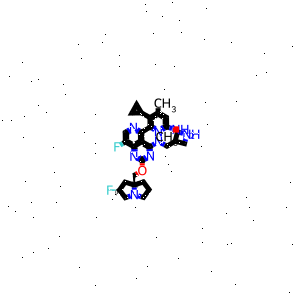 Cc1cc(N)nc(-c2ncc(F)c3nc(OC[C@@]45CCCN4C[C@H](F)C5)nc(N(C)CC4CNC4)c23)c1C1CC1